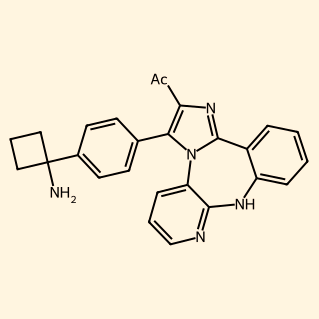 CC(=O)c1nc2n(c1-c1ccc(C3(N)CCC3)cc1)-c1cccnc1Nc1ccccc1-2